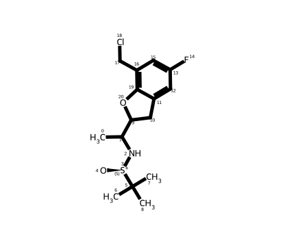 CC(N[S@+]([O-])C(C)(C)C)C1Cc2cc(F)cc(CCl)c2O1